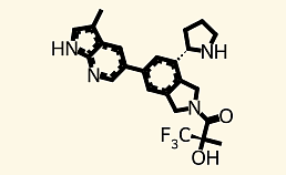 Cc1c[nH]c2ncc(-c3cc4c(c([C@@H]5CCCN5)c3)CN(C(=O)[C@](C)(O)C(F)(F)F)C4)cc12